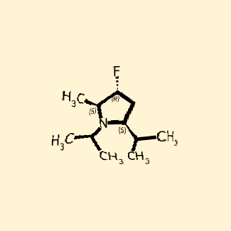 CC(C)[C@@H]1C[C@@H](F)[C@H](C)N1C(C)C